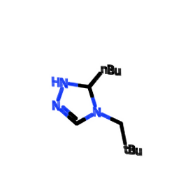 CCCCC1NN=CN1CC(C)(C)C